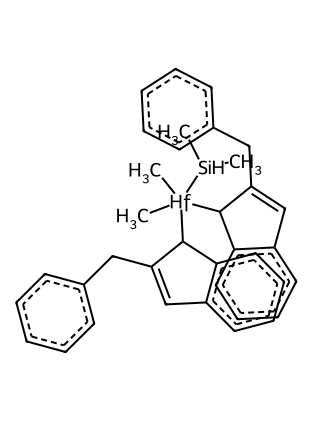 C[SiH](C)[Hf]([CH3])([CH3])([CH]1C(Cc2ccccc2)=Cc2ccccc21)[CH]1C(Cc2ccccc2)=Cc2ccccc21